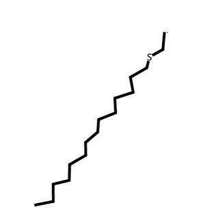 [CH2]CSCCCCCCCCCCCCCC